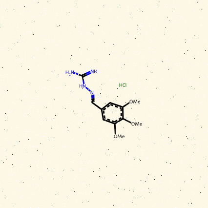 COc1cc(/C=N/NC(=N)N)cc(OC)c1OC.Cl